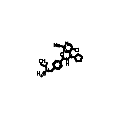 CCCN(C)Cc1ccc(C(=O)NN(c2nc(C#N)ncc2Cl)C2CCCC2)cc1